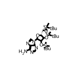 CC(C)(C)[Si](C)(C)OC[C@H]1OC(n2cnc3c(N)ncnc32)C(O[Si](C)(C)C(C)(C)C)C1O[Si](C)(C)C(C)(C)C